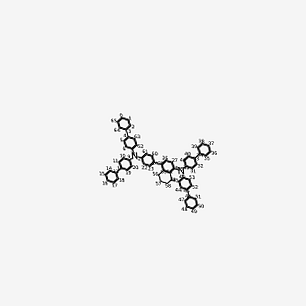 c1ccc(-c2ccc(N(c3ccc(-c4ccccc4)cc3)c3ccc(-c4ccc(N(c5ccc(-c6ccccc6)cc5)c5ccc(-c6ccccc6)cc5)c5c4CCCC5)cc3)cc2)cc1